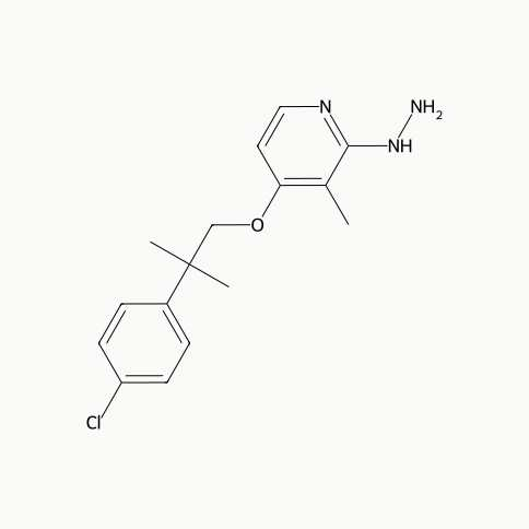 Cc1c(OCC(C)(C)c2ccc(Cl)cc2)ccnc1NN